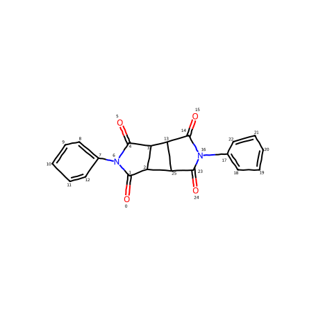 O=C1C2C(C(=O)N1c1ccccc1)C1C(=O)N(c3ccccc3)C(=O)C21